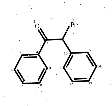 C[C](C)C(C(=O)c1ccccc1)c1ccccc1